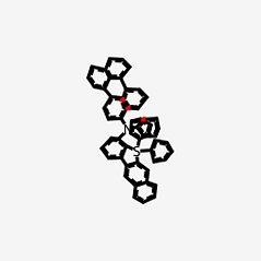 c1ccc(-c2cccc3cccc(-c4ccc(N(c5ccccc5)c5cccc6c5S(c5ccccc5)(c5ccccc5)c5cc7ccccc7cc5-6)cc4)c23)cc1